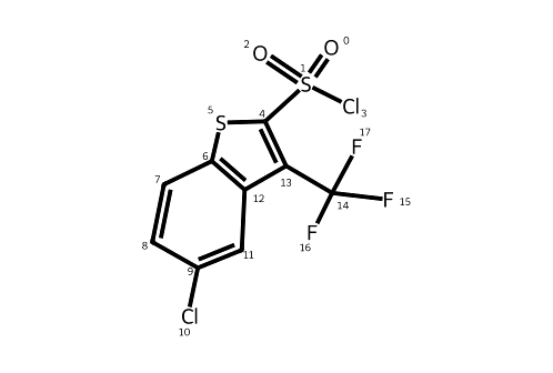 O=S(=O)(Cl)c1sc2ccc(Cl)cc2c1C(F)(F)F